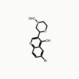 O=CN1CCOC(c2cnc3ccc(Br)cc3c2O)C1